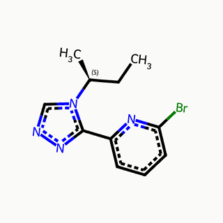 CC[C@H](C)n1cnnc1-c1cccc(Br)n1